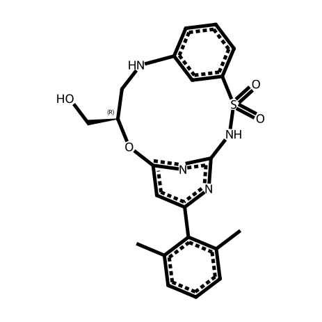 Cc1cccc(C)c1-c1cc2nc(n1)NS(=O)(=O)c1cccc(c1)NC[C@H](CO)O2